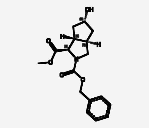 COC(=O)[C@H]1[C@@H]2C[C@H](O)C[C@H]2CN1C(=O)OCc1ccccc1